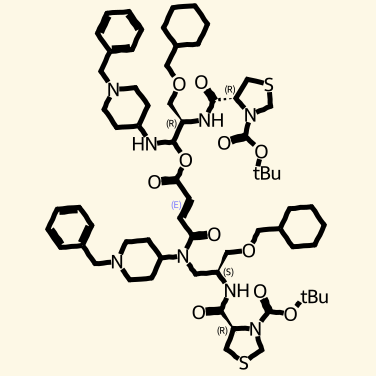 CC(C)(C)OC(=O)N1CSC[C@H]1C(=O)N[C@H](COCC1CCCCC1)CN(C(=O)/C=C/C(=O)OC(NC1CCN(Cc2ccccc2)CC1)[C@@H](COCC1CCCCC1)NC(=O)[C@@H]1CSCN1C(=O)OC(C)(C)C)C1CCN(Cc2ccccc2)CC1